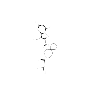 Cc1cc(C(F)(F)F)n2nc(C(=O)N3CCCC34CCN(C(=O)OC(C(F)(F)F)C(F)(F)F)CC4)c(Cl)c2n1